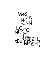 CSc1ncnn2c([C@@H]3O[C@H](CO[Si](C)(C)C(C)(C)C)[C@@H](O[Si](C)(C)C(C)(C)C)[C@@]3(C)C#N)cnc12